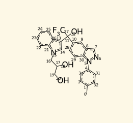 Cc1ccc(-n2ncc3cc(C(O)(c4cn(CC(O)CO)c5ccccc45)C(F)(F)F)ccc32)cc1